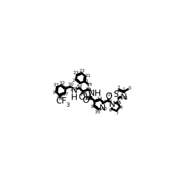 Cc1csc([C@H]2CCCN2C(=O)c2cc(C(=O)N[C@@H](Cc3ccccc3)[C@@H](O)CNCc3cccc(C(F)(F)F)c3)ccn2)n1